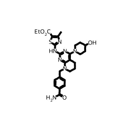 CCOC(=O)c1sc(Nc2nc(N3CCC(O)CC3)c3c(n2)N(Cc2ccc(C(N)=O)cc2)CCC3)nc1C